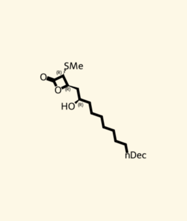 CCCCCCCCCCCCCCCCC[C@@H](O)C[C@H]1OC(=O)[C@@H]1SC